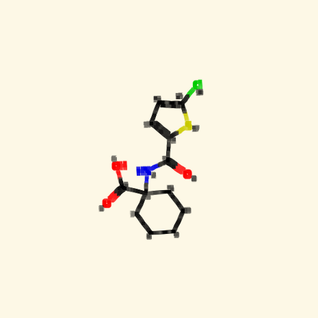 O=C(NC1(C(=O)O)CCCCC1)c1ccc(Cl)s1